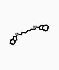 c1ccc2c(c1)CC(NCCCCCCCNC1Cc3ccccc3C1)C2